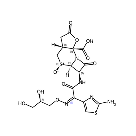 Nc1nc(/C(=N/OC[C@H](O)CO)C(=O)N[C@@H]2C(=O)N3[C@@H]2[S@@+]([O-])C[C@@H]2CC(=O)O[C@@]23C(=O)O)cs1